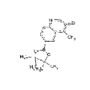 Cn1c(=O)cnc2ccc(B3OC(C)(C)C(C)(C)O3)cc21